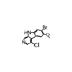 COc1cc2c(cc1Br)[nH]c1cncc(Cl)c12